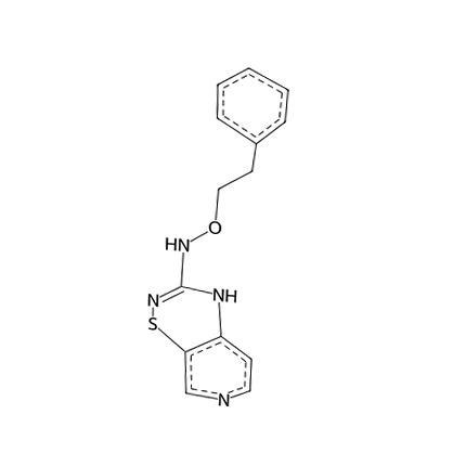 c1ccc(CCONC2=NSc3cnccc3N2)cc1